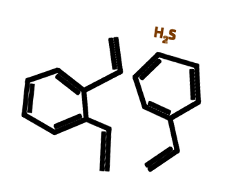 C=Cc1ccccc1.C=Cc1ccccc1C=C.S